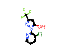 Oc1cc(C(F)(F)F)nn1-c1ncccc1Cl